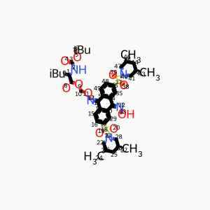 CCC(C)C(NC(=O)OC(C)(C)C)C(=O)OCON=C1c2ccc(S(=O)(=O)N3C[C@H](C)C[C@H](C)C3)cc2C(=NO)c2cc(S(=O)(=O)N3C[C@H](C)C[C@H](C)C3)ccc21